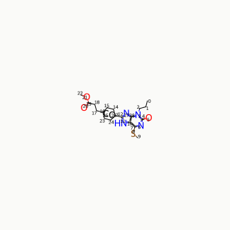 CCCn1c(=O)nc(SC)c2[nH]c(C34CCC(CCC(=O)OC)(CC3)CC4)nc21